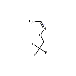 C/[C]=N\OCC(F)(F)F